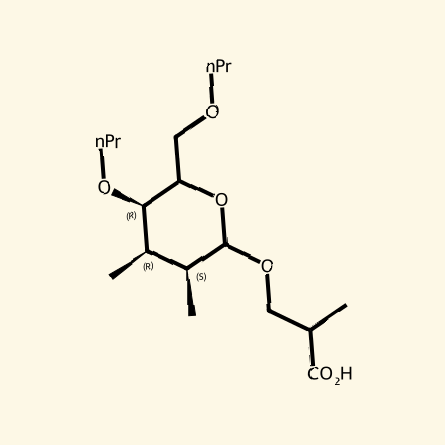 CCCOCC1OC(OCC(C)C(=O)O)[C@@H](C)[C@@H](C)[C@H]1OCCC